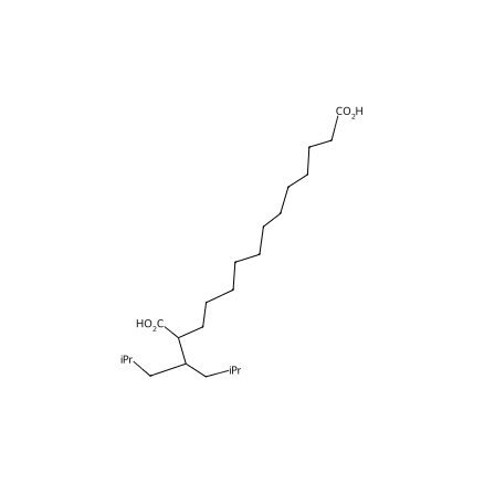 CC(C)CC(CC(C)C)C(CCCCCCCCCCCC(=O)O)C(=O)O